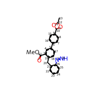 COC(=O)c1cc(-c2ccc(C3OC(C)O3)cc2)ccc1Cc1ccccc1N=N